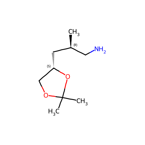 C[C@@H](CN)C[C@H]1COC(C)(C)O1